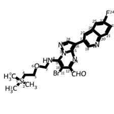 C[Si](C)(C)CCOCNc1c(Br)c(C=O)nc2c(-c3cnc4ccc(F)cc4c3)cnn12